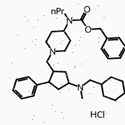 CCCN(C(=O)OCc1ccccc1)C1CCN(CC2CC(N(C)CC3CCCCC3)CC2c2ccccc2)CC1.Cl